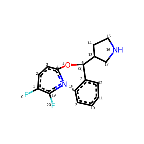 Fc1ccc(O[C@H](c2ccccc2)C2CCNC2)nc1F